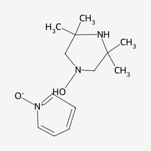 CC1(C)CN(O)CC(C)(C)N1.[O-][n+]1ccccc1